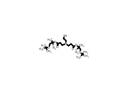 CC(C)(C)OCC(C)(C)OC(=O)CCN(CCS)CCC(=O)OC(C)(C)COC(C)(C)C